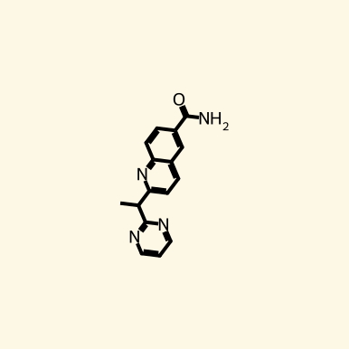 CC(c1ccc2cc(C(N)=O)ccc2n1)c1ncccn1